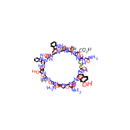 CCCC[C@H]1C(=O)N(C)[C@@H](CCCC)C(=O)N[C@@H](CCC(=O)O)C(=O)NC(C(=O)NCC(N)=O)CSCC(=O)NC(Cc2ccc(O)cc2)C(=O)N(C)[C@@H](C)C(=O)N[C@@H](CC(N)=O)C(=O)N2CCC[C@H]2C(=O)N[C@@H](CC(N)=O)C(=O)N[C@@H](CC(C)C)C(=O)N2C[C@H](O)C[C@H]2C(=O)N[C@@H](Cc2c[nH]c3ccccc23)C(=O)N[C@@H](CO)C(=O)N[C@@H](Cc2c[nH]c3ccccc23)C(=O)N1C